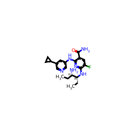 CC[C@H](N)[C@@H](CC)Nc1nc(Nc2cncc(C3CC3)c2)c(C(N)=O)cc1F